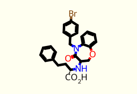 O=C(O)[C@H](CCc1ccccc1)NC1COc2ccccc2N(Cc2ccc(Br)cc2)C1=O